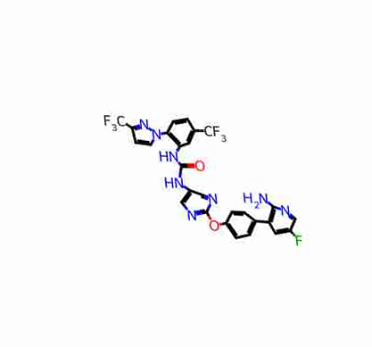 Nc1ncc(F)cc1-c1ccc(Oc2ncc(NC(=O)Nc3cc(C(F)(F)F)ccc3-n3ccc(C(F)(F)F)n3)cn2)cc1